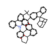 CC(C)(C)c1ccc(-c2ccccc2N(c2ccc(-c3ccc4c(c3)C3(c5ccccc5-4)C4CC5CC6CC3C64C5)cc2)c2ccccc2-c2cccc3cccc(C4CCCCC4)c23)cc1